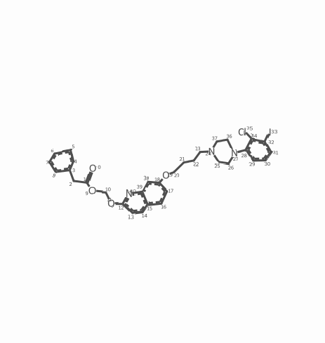 O=C(Cc1ccccc1)OCOc1ccc2ccc(OCCCCN3CCN(c4cccc(I)c4Cl)CC3)cc2n1